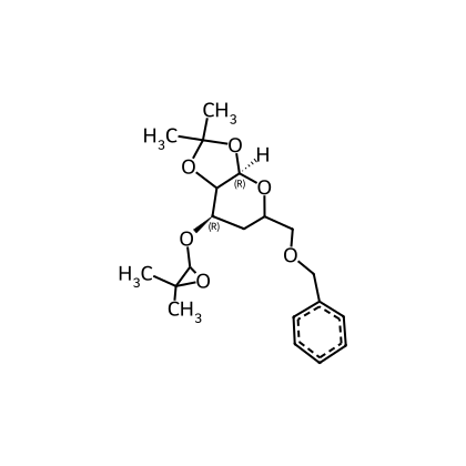 CC1(C)OC2[C@H](OC(COCc3ccccc3)C[C@H]2OC2OC2(C)C)O1